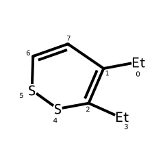 CCC1=C(CC)SSC=C1